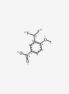 COc1ccc([N+](=O)[O-])cc1C(F)F